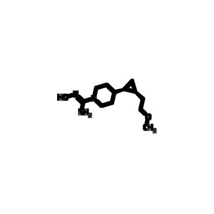 COCC[C@@H]1C[C@@H]1C1CCN(/C(N)=N/O)CC1